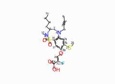 CC#CCN1CC(CCCC)N(C)S(=O)(=O)c2cc(O/C=C(\F)C(=O)O)c(SC)cc21